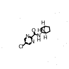 O=C(N[C@@H]1C[C@H]2CC[C@@H]1N2)c1ncc(Cl)cn1